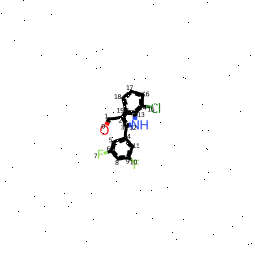 O=Cc1c(-c2cc(F)cc(F)c2)[nH]c2c(Cl)cccc12